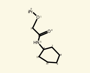 CC(C)OCC(=O)NC1CCCCC1